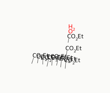 CCOC(C)=O.CCOC(C)=O.CCOC(C)=O.CCOC(C)=O.CCOC(C)=O.CCOC(C)=O.CCOC(C)=O.CCOC(C)=O.CCOC(C)=O.CCOC(C)=O.O